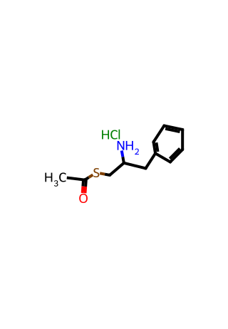 CC(=O)SCC(N)Cc1ccccc1.Cl